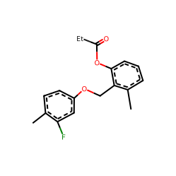 CCC(=O)Oc1cccc(C)c1COc1ccc(C)c(F)c1